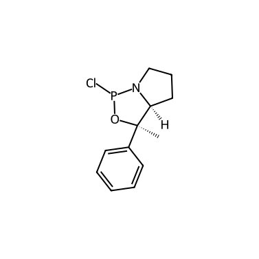 C[C@]1(c2ccccc2)OP(Cl)N2CCC[C@H]21